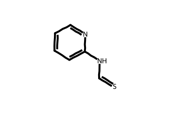 S=CNc1ccccn1